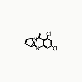 C=C1c2c(Cl)cc(Cl)cc2N=C2C3C=CC(C3)N12